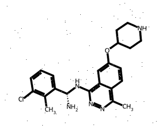 Cc1c(Cl)cccc1[C@@H](N)Nc1nnc(C)c2ccc(OC3CCNCC3)cc12